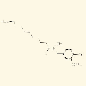 C=CCCCCCCCCC(=O)N(O)Cc1ccc(O)c(OC)c1